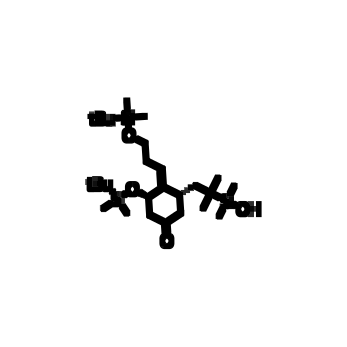 CC(C)(C[C@@H]1CC(=O)C[C@@H](O[Si](C)(C)C(C)(C)C)/C1=C\CCO[Si](C)(C)C(C)(C)C)[Si](C)(C)O